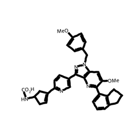 COc1ccc(Cn2nc(-c3ccc(C4=CCC(NC(=O)O)C4)nc3)c3nc(-c4cccc5c4CCC5)c(OC)cc32)cc1